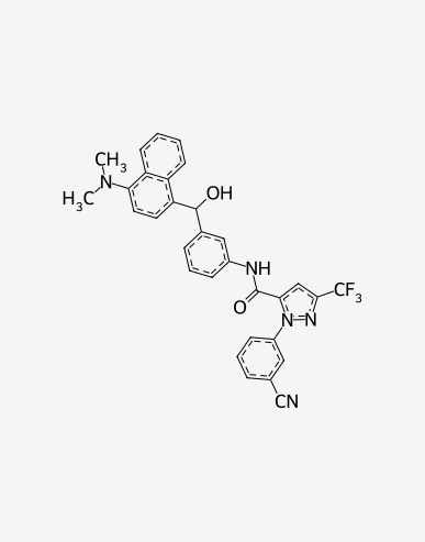 CN(C)c1ccc(C(O)c2cccc(NC(=O)c3cc(C(F)(F)F)nn3-c3cccc(C#N)c3)c2)c2ccccc12